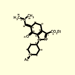 CCOC(=O)c1nn(C2CCN(C(C)=O)CC2)c2c1CCC(=CN(C)C)C2=O